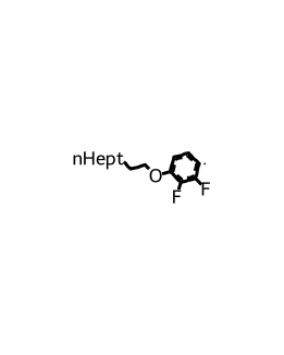 CCCCCCCCCOc1cc[c]c(F)c1F